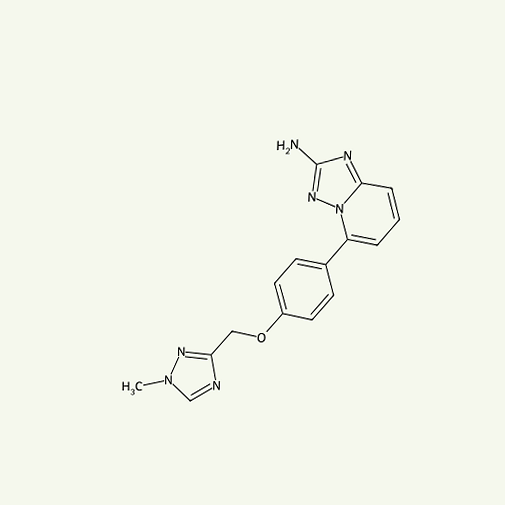 Cn1cnc(COc2ccc(-c3cccc4nc(N)nn34)cc2)n1